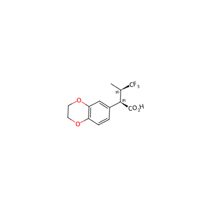 C[C@H]([C@@H](C(=O)O)c1ccc2c(c1)OCCO2)C(F)(F)F